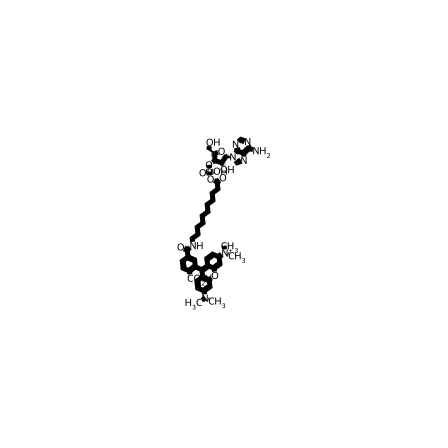 CN(C)c1ccc2c(-c3cc(C(=O)NCCCCCCCCCCC(=O)OP(=O)(O)OC4[C@@H](CO)O[C@@H](n5cnc6c(N)ncnc65)[C@H]4O)ccc3C(=O)O)c3ccc(=[N+](C)C)cc-3oc2c1